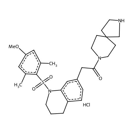 COc1cc(C)c(S(=O)(=O)N2CCCc3ccc(CC(=O)N4CCC5(CCNC5)CC4)cc32)c(C)c1.Cl